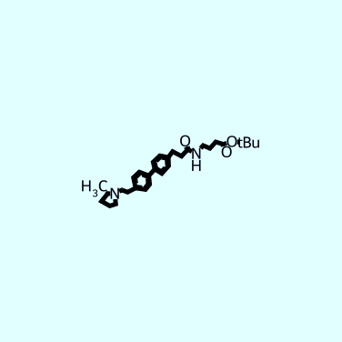 C[C@@H]1CCCN1CCc1ccc(-c2ccc(CCC(=O)NCCCC(=O)OC(C)(C)C)cc2)cc1